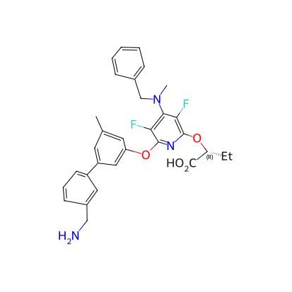 CC[C@@H](Oc1nc(Oc2cc(C)cc(-c3cccc(CN)c3)c2)c(F)c(N(C)Cc2ccccc2)c1F)C(=O)O